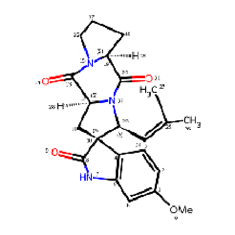 COc1ccc2c(c1)NC(=O)[C@@]21C[C@H]2C(=O)N3CCC[C@H]3C(=O)N2[C@H]1C=C(C)C